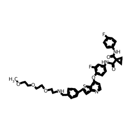 COCCOCCOCCNCc1ccc(-c2cc3nccc(Oc4ccc(NC(=O)C5(C(=O)Nc6ccc(F)cc6)CC5)cc4F)c3s2)cc1